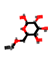 O=S(=O)(O)OC[C@H]1O[C@H](O)[C@H](O)[C@@H](O)[C@H]1O